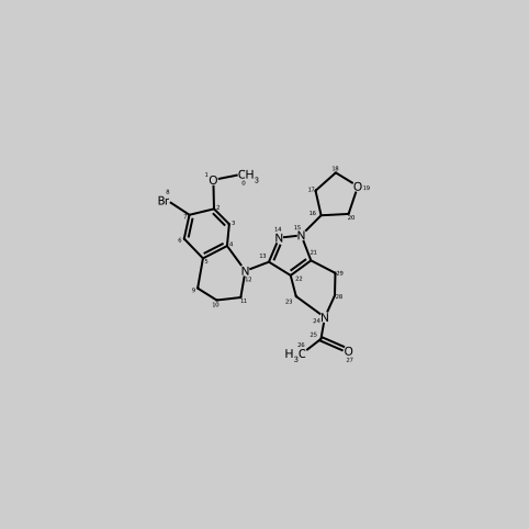 COc1cc2c(cc1Br)CCCN2c1nn(C2CCOC2)c2c1CN(C(C)=O)CC2